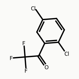 O=C(c1cc(Cl)ccc1Cl)C(F)(F)F